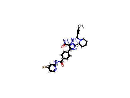 CC#CCN1CCCC[C@H]1c1nc(-c2ccc(C(=O)Nc3cc(Br)ccn3)cc2)c(C(N)=O)n1N